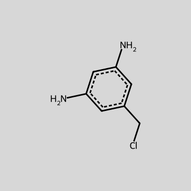 Nc1cc(N)cc(CCl)c1